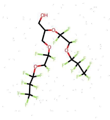 OCC(COC(F)(F)C(F)OC(F)(F)C(F)(F)C(F)(F)F)OC(F)(F)C(F)OC(F)(F)C(F)(F)C(F)(F)F